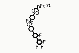 CCCCCC1COC(C2CCC(C(F)(F)OC3CCC(c4ccc(-c5cc(F)c(F)c(F)c5)c(F)c4)CC3)CC2)OC1